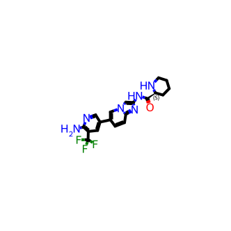 Nc1ncc(-c2ccc3nc(NC(=O)[C@@H]4CCCCN4)cn3c2)cc1C(F)(F)F